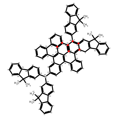 CC1(C)C2=C(CCC(N(c3ccc4c(c3)C(C)(C)c3ccccc3-4)c3ccc4c(-c5ccccc5-c5ccccc5)c5cc(N(c6ccc7c(c6)C(C)(C)c6ccccc6-7)c6ccc7c(c6)C(C)(C)c6ccccc6-7)ccc5c(-c5ccccc5-c5ccccc5)c4c3)=C2)c2ccccc21